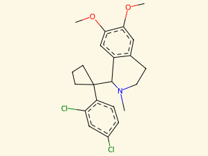 COc1cc2c(cc1OC)C(C1(c3ccc(Cl)cc3Cl)CCC1)N(C)CC2